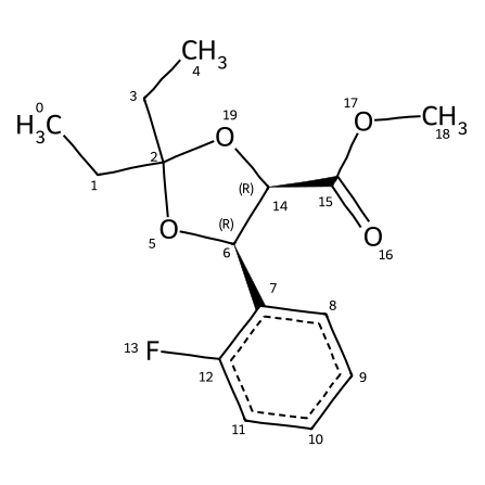 CCC1(CC)O[C@H](c2ccccc2F)[C@H](C(=O)OC)O1